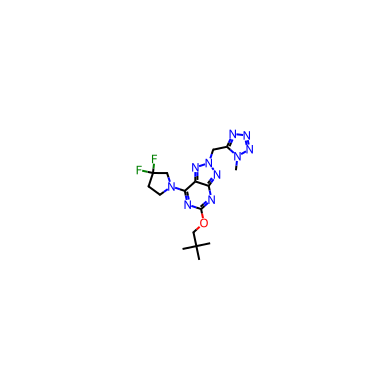 Cn1nnnc1Cn1nc2nc(OCC(C)(C)C)nc(N3CCC(F)(F)C3)c2n1